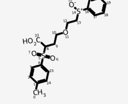 Cc1ccc(S(=O)(=O)C(CCOCC[S+]([O-])c2ccccc2)C(=O)O)cc1